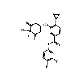 C=C1C[C@H](Sc2cc(C(=O)Nc3ccc(F)c(F)c3)ccc2C2CC2)CC(C)[C@@]1(C)O